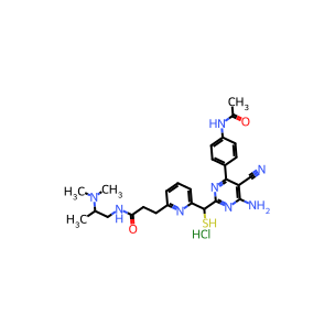 CC(=O)Nc1ccc(-c2nc(C(S)c3cccc(CCC(=O)NCC(C)N(C)C)n3)nc(N)c2C#N)cc1.Cl